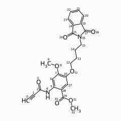 C#CC(=O)Nc1cc(OC)c(OCCCCN2C(=O)c3ccccc3C2=O)cc1C(=O)OC